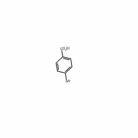 C[CH]Cc1ccc(C(=O)OCC)cc1